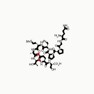 CSCC[C@H](NC(=O)[C@H](CC(C)C)NC(=O)[C@@H]1CCCN1C(=O)[C@@H]1CCCN1C(=O)CNC(=O)[C@@H](N)CCC(N)=O)C(=O)N[C@@H](C)C(=O)N[C@H](C(=O)N[C@@H](CCC(N)=O)C(=O)N[C@@H](CO)C(=O)O)[C@@H](C)O